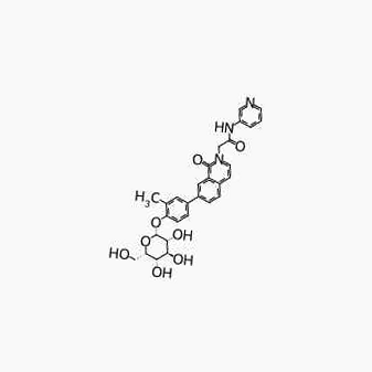 Cc1cc(-c2ccc3ccn(CC(=O)Nc4cccnc4)c(=O)c3c2)ccc1O[C@H]1O[C@@H](CO)[C@@H](O)[C@H](O)[C@H]1O